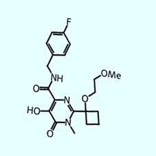 COCCOC1(c2nc(C(=O)NCc3ccc(F)cc3)c(O)c(=O)n2C)CCC1